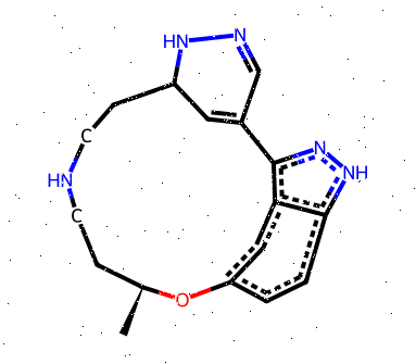 C[C@H]1CCNCCC2C=C(C=NN2)c2n[nH]c3ccc(cc23)O1